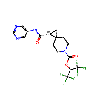 O=C(Nc1cncnc1)[C@@H]1CC12CCN(C(=O)OC(C(F)(F)F)C(F)(F)F)CC2